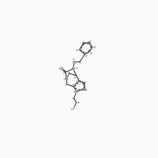 O=C1N2Cc3c(cnn3CCI)C(C2)N1OCc1ccccc1